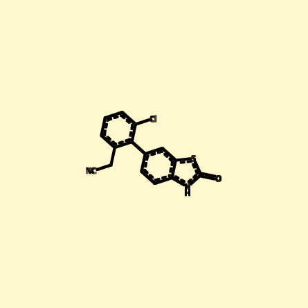 N#CCc1cccc(Cl)c1-c1ccc2[nH]c(=O)sc2c1